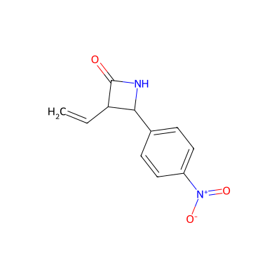 C=CC1C(=O)NC1c1ccc([N+](=O)[O-])cc1